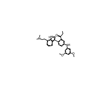 CCC(=O)c1cc(Nc2cc(OC)cc(OC)c2)ccc1-c1c[nH]c2c(CCN(C)C)cccc12